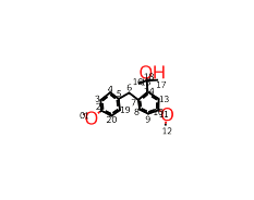 COc1ccc(Cc2ccc(OC)cc2C(C)(C)O)cc1